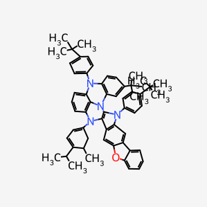 CC(C)C1=CC=C(N2c3cccc4c3N(c3cc(C(C)(C)C)ccc3N4c3ccc(C(C)(C)C)cc3)c3c2c2cc4oc5ccccc5c4cc2n3-c2ccc(C(C)(C)C)cc2)CC1C